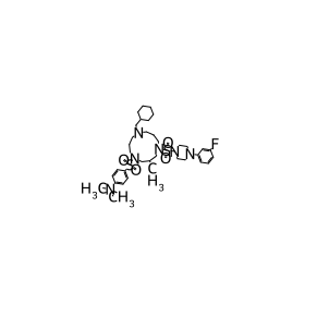 C[C@H]1CN(S(=O)(=O)c2ccc(N(C)C)cc2)CCCN(CC2CCCCC2)CCCN(S(=O)(=O)N2CCN(c3cccc(F)c3)CC2)C1